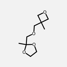 CC1(COCC2(C)OCCO2)COC1